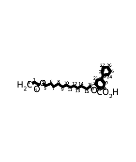 C=CC(=O)OCCCCCCCCCCCCOC1(C(=O)O)C=CC(c2ccccc2)=CC1